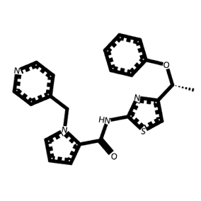 C[C@@H](Oc1ccccc1)c1csc(NC(=O)c2cccn2Cc2ccncc2)n1